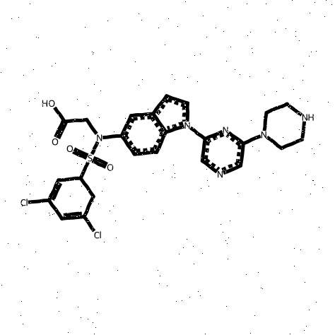 O=C(O)CN(c1ccc2c(ccn2-c2cncc(N3CCNCC3)n2)c1)S(=O)(=O)C1C=C(Cl)C=C(Cl)C1